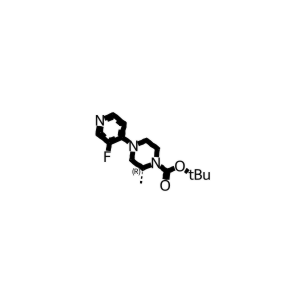 C[C@@H]1CN(c2ccncc2F)CCN1C(=O)OC(C)(C)C